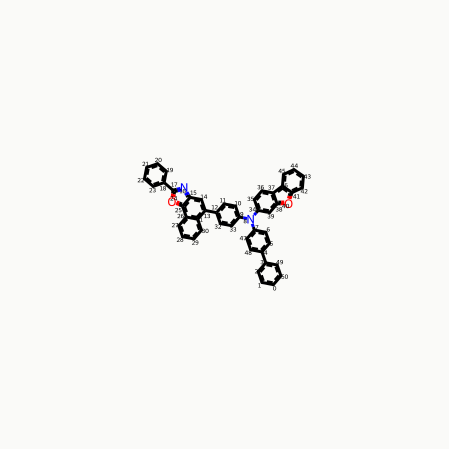 c1ccc(-c2ccc(N(c3ccc(-c4cc5nc(-c6ccccc6)oc5c5ccccc45)cc3)c3ccc4c(c3)oc3ccccc34)cc2)cc1